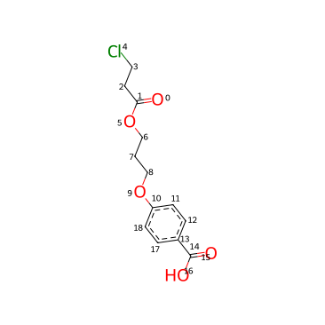 O=C(CCCl)OCCCOc1ccc(C(=O)O)cc1